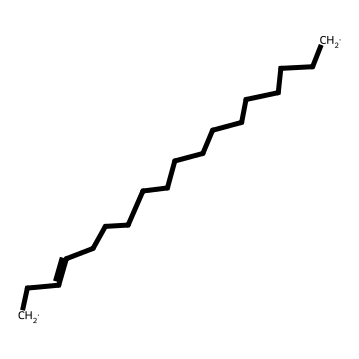 [CH2]CC=CCCCCCCCCCCCCC[CH2]